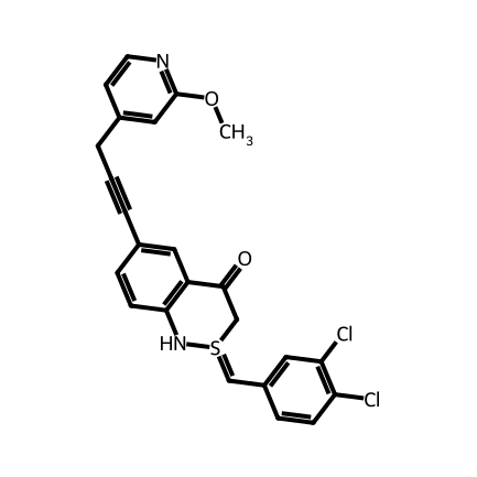 COc1cc(CC#Cc2ccc3c(c2)C(=O)C/S(=C\c2ccc(Cl)c(Cl)c2)N3)ccn1